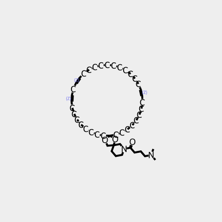 CN(C)CCCC(=O)N1CCCC2(COC3(CCCCCCCC/C=C\C/C=C\CCCCCCCCCCC/C=C\CCCCCCCC3)O2)C1